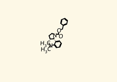 CN(C)c1ccccc1[C@@H]1CCCN1C(=O)OCc1ccccc1